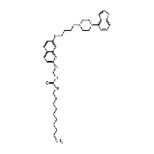 CCCCCCCCCCNC(=O)OCOc1ccc2ccc(OCCCCN3CCN(c4cccc5sccc45)CC3)cc2n1